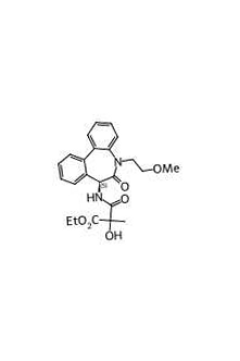 CCOC(=O)C(C)(O)C(=O)N[C@@H]1C(=O)N(CCOC)c2ccccc2-c2ccccc21